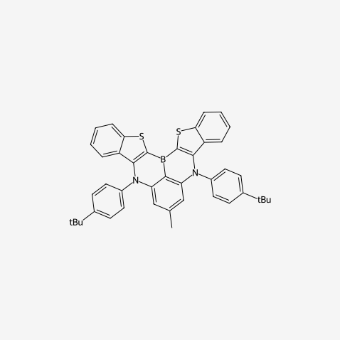 Cc1cc2c3c(c1)N(c1ccc(C(C)(C)C)cc1)c1c(sc4ccccc14)B3c1sc3ccccc3c1N2c1ccc(C(C)(C)C)cc1